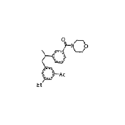 CCc1cc(CC(C)c2cccc(C(=O)N3CCOCC3)c2)cc(C(C)=O)c1